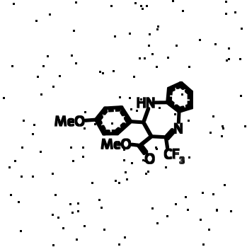 COC(=O)C1C(C(F)(F)F)=Nc2ccccc2NC1c1ccc(OC)cc1